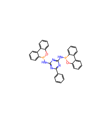 c1ccc(-c2nc(NP3Oc4ccccc4-c4ccccc43)nc(NP3Oc4ccccc4-c4ccccc43)n2)cc1